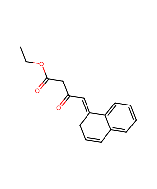 CCOC(=O)CC(=O)C=C1CC=Cc2ccccc21